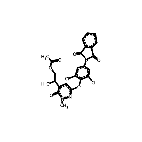 CC(=O)OCC(C)c1cc(Oc2c(Cl)cc(N3C(=O)c4ccccc4C3=O)cc2Cl)nn(C)c1=O